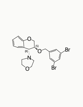 Brc1cc(Br)cc(CO[C@@H]2COc3ccccc3[C@H]2N2CCOCC2)c1